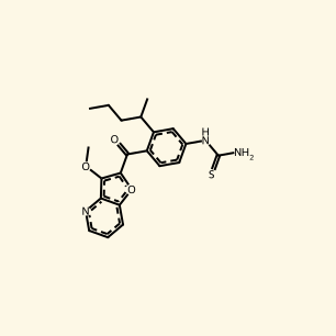 CCCC(C)c1cc(NC(N)=S)ccc1C(=O)c1oc2cccnc2c1OC